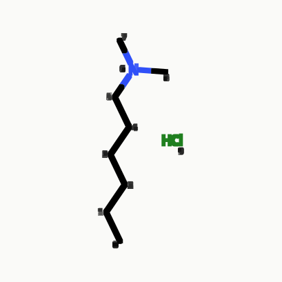 CCCCCCN(C)C.Cl